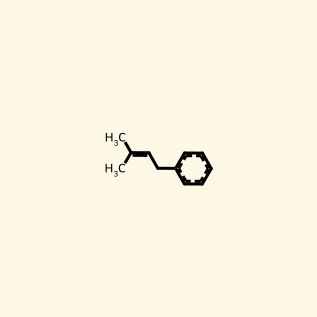 CC(C)=CCc1ccccc1